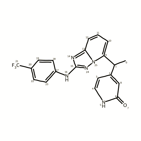 CC(c1cc[nH]c(=O)c1)c1cccc2nc(Nc3ccc(C(F)(F)F)cc3)nn12